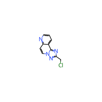 ClCc1nc2c3cccnc3ccn2n1